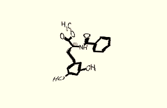 COC(=O)[C@H](Cc1cc(O)cc(O)c1)NC(=O)c1ccccc1